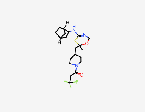 CC1(CC2CCN(C(=O)CC(F)(F)F)CC2)OCN=C(N[C@H]2C[C@@H]3CC[C@H]2C3)S1